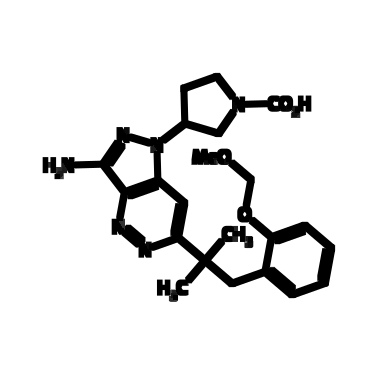 COCOc1ccccc1CC(C)(C)c1cc2c(nn1)c(N)nn2C1CCN(C(=O)O)C1